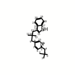 CC(C)(C)Cc1ccc(CC(C)(C)Cc2c[nH]c3ccccc23)cn1